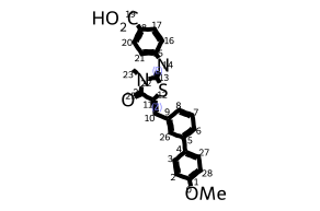 COc1ccc(-c2cccc(/C=C3\S/C(=N/c4ccc(C(=O)O)cc4)N(C)C3=O)c2)cc1